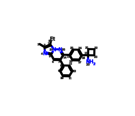 CCc1c(C)nc2cc(-c3ccccc3)c(-c3ccc(C4(N)CCC4)cc3)nn12